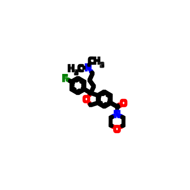 CN(C)CCCC1(c2ccc(F)cc2)OCc2cc(C(=O)N3CCOCC3)ccc21